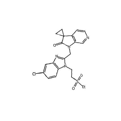 CCS(=O)(=O)CCn1c(CN2C(=O)C3(CC3)c3ccncc32)nc2cc(Cl)ccc21